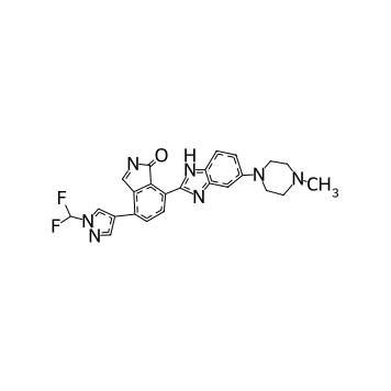 CN1CCN(c2ccc3[nH]c(-c4ccc(-c5cnn(C(F)F)c5)c5c4C(=O)N=C5)nc3c2)CC1